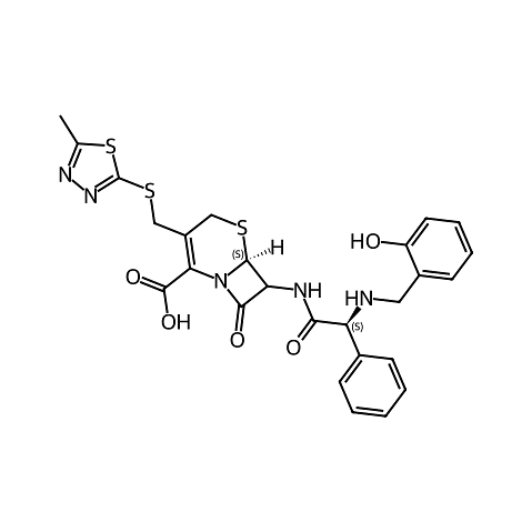 Cc1nnc(SCC2=C(C(=O)O)N3C(=O)C(NC(=O)[C@@H](NCc4ccccc4O)c4ccccc4)[C@@H]3SC2)s1